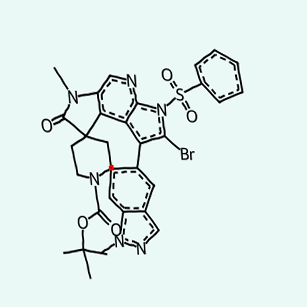 CN1C(=O)C2(CCN(C(=O)OC(C)(C)C)CC2)c2c1cnc1c2c(-c2ccc3c(cnn3C)c2)c(Br)n1S(=O)(=O)c1ccccc1